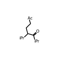 CC(=O)CCC(C(=O)C(C)C)C(C)C